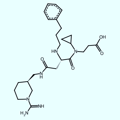 N=C(N)N1CCC[C@@H](CNC(=O)C[C@H](NCCCc2ccccc2)C(=O)N(CCC(=O)O)C2CC2)C1